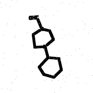 O=CN1CCN(C2CCCCC2)CC1